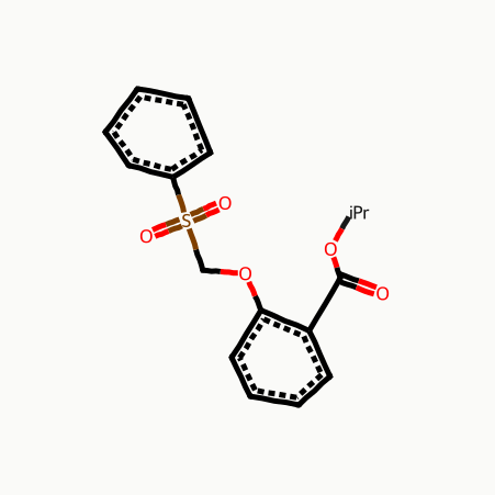 CC(C)OC(=O)c1ccccc1OCS(=O)(=O)c1ccccc1